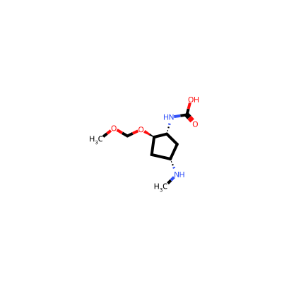 CN[C@H]1C[C@@H](NC(=O)O)[C@H](OCOC)C1